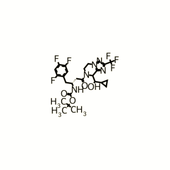 CC(C)(C)OC(=O)N[C@@H](CC(=O)N1CCn2nc(C(F)(F)F)nc2C1C(O)C1CC1)Cc1cc(F)c(F)cc1F